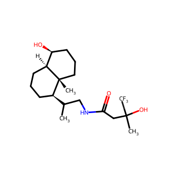 CC(CNC(=O)CC(C)(O)C(F)(F)F)[C@H]1CCC[C@H]2[C@@H](O)CCC[C@]12C